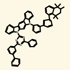 CC1CC(C)(C)c2c(-c3cccc(-c4cccc(-n5c6ccccc6c6cc7c8ccccc8n(-c8nc(-c9ccccc9)nc(-c9cccc(-c%10ccccc%10)c9)n8)c7cc65)c4)c3)cccc2C1(C)C